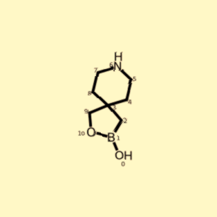 OB1CC2(CCNCC2)CO1